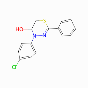 OC1CSC(c2ccccc2)=NN1c1ccc(Cl)cc1